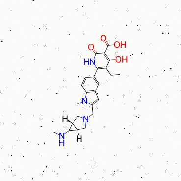 CCc1c(-c2ccc3c(c2)cc(CN2C[C@@H]4C(NC)[C@@H]4C2)n3C)[nH]c(=O)c(C(=O)O)c1O